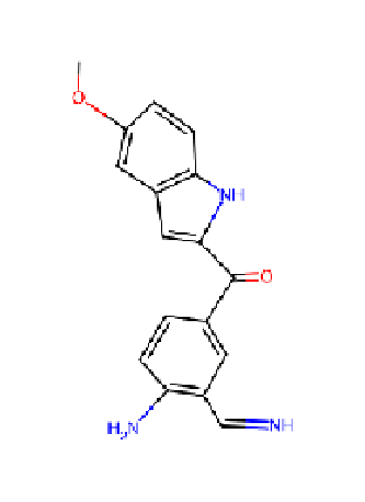 COc1ccc2[nH]c(C(=O)c3ccc(N)c(C=N)c3)cc2c1